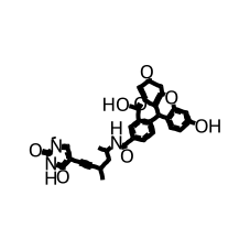 CC(C#Cc1cn(C)c(=O)[nH]c1=O)CC(C)NC(=O)c1ccc(C2C3=C(CC(=O)C=C3)Oc3cc(O)ccc32)c(C(=O)O)c1